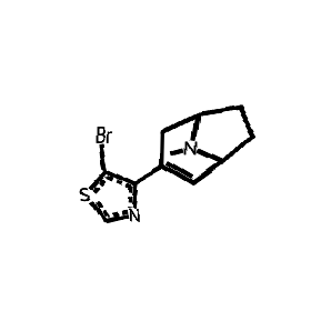 CN1C2C=C(c3ncsc3Br)CC1CC2